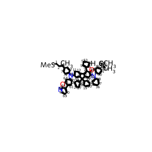 CSCC[C@@H](C)c1ccc(N(c2ccc3c(c2)C(c2ccccc2)(c2ccccc2)c2cc(N(c4ccccc4)c4ccc([Si](C)(C)C)cc4)c4oc5ccccc5c4c2-3)c2ccc3c(c2)oc2ncccc23)cc1